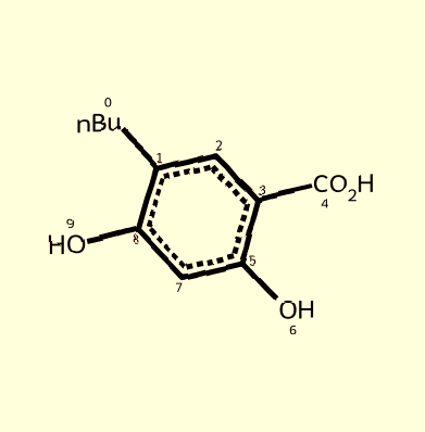 CCCCc1cc(C(=O)O)c(O)cc1O